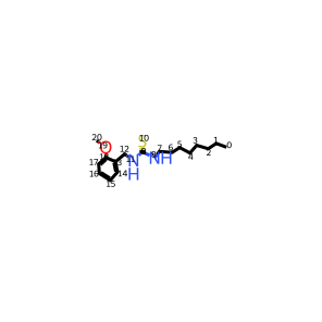 CCCCCCCCNC(=S)NCc1ccccc1OC